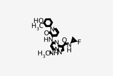 CNc1cc(Nc2cccn(C3CCC[C@@](C)(O)C3)c2=O)nc2c(C(=O)N[C@@H]3C[C@@H]3F)cnn12